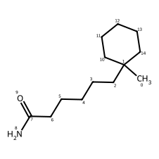 CC1(CCCCCC(N)=O)CCCCC1